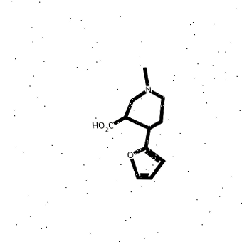 CN1CCC(c2ccco2)C(C(=O)O)C1